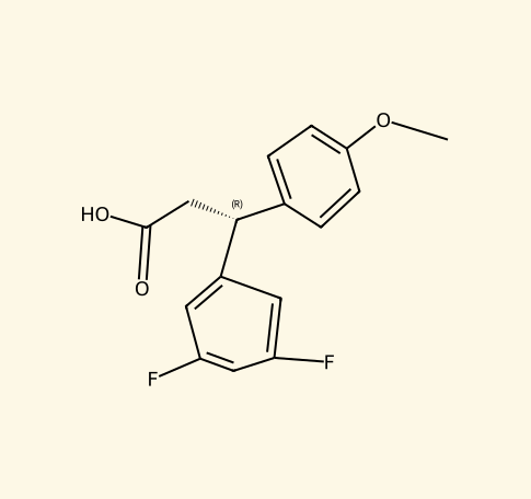 COc1ccc([C@@H](CC(=O)O)c2cc(F)cc(F)c2)cc1